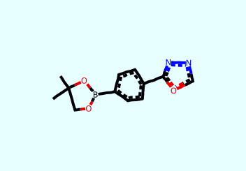 CC1(C)COB(c2ccc(-c3nnco3)cc2)O1